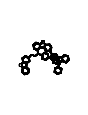 c1ccc(-c2ccc(C(CCc3ccc4oc5ccccc5c4c3)c3cccc4oc5ccc(-c6ccc7c(c6)c6ccccc6n7-c6ccccc6)cc5c34)cc2)cc1